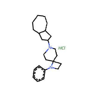 Cl.c1ccc(N2CCC23CCN(C2CC4CCCCCC4C2)CC3)cc1